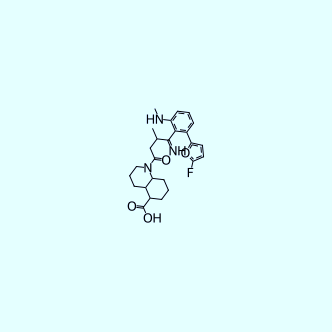 CNc1cccc(-c2ccc(F)o2)c1C(=N)C(C)CC(=O)N1CCCC2C(C(=O)O)CCCC21